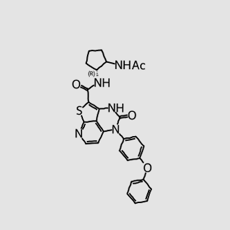 CC(=O)NC1CCC[C@H]1NC(=O)c1sc2nccc3c2c1NC(=O)N3c1ccc(Oc2ccccc2)cc1